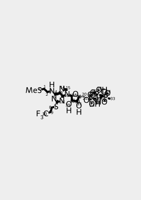 CSCCNc1nc(SCCC(F)(F)F)nc2c1ncn2C1O[C@H](COP(=O)(O)OP(=O)(O)C(Cl)(Cl)P(C)(=O)O)[C@@H](O)[C@H]1O